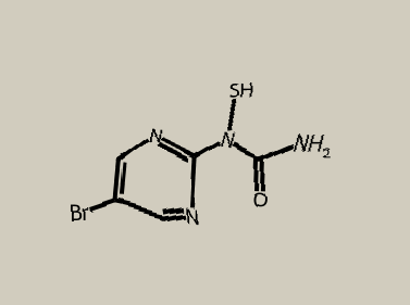 NC(=O)N(S)c1ncc(Br)cn1